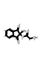 CC(C)C1(OC(=O)CO)C(=O)c2ccccc2C1=O